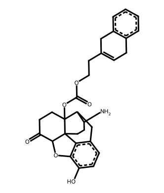 NC1CCC23c4c5ccc(O)c4OC2C(=O)CCC3(OC(=O)OCCC2=CCc3ccccc3C2)C1C5